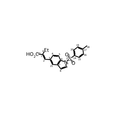 CC/C(=C\c1ccc2c(ccn2S(=O)(=O)c2ccc(C)cc2)c1)C(=O)O